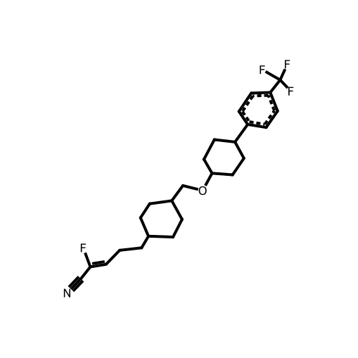 N#CC(F)=CCCC1CCC(COC2CCC(c3ccc(C(F)(F)F)cc3)CC2)CC1